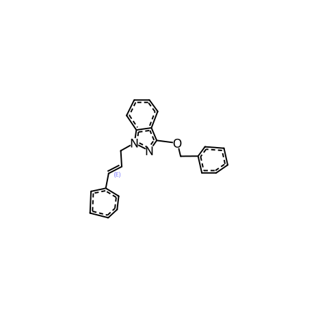 C(=C\c1ccccc1)/Cn1nc(OCc2ccccc2)c2ccccc21